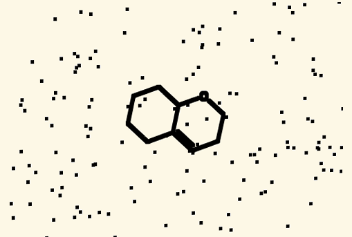 C1=C2CCCCC2OCC1